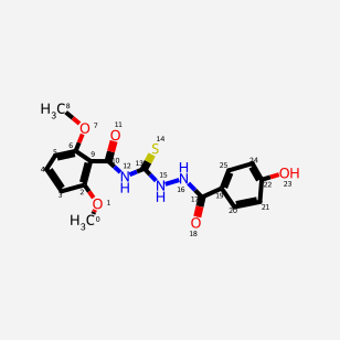 COc1cccc(OC)c1C(=O)NC(=S)NNC(=O)c1ccc(O)cc1